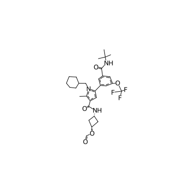 Cc1c(C(=O)N[C@H]2C[C@H](OC=O)C2)cc(-c2cc(OC(F)(F)F)cc(C(=O)NC(C)(C)C)c2)n1CC1CCCCC1